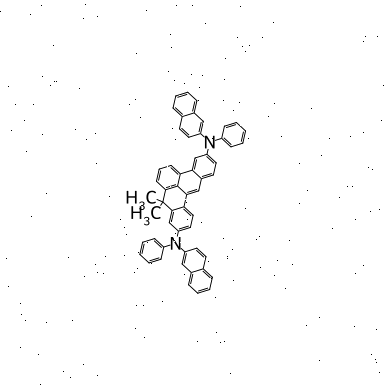 CC1(C)c2cc(N(c3ccccc3)c3ccc4ccccc4c3)ccc2-c2cc3ccc(N(c4ccccc4)c4ccc5ccccc5c4)cc3c3cccc1c23